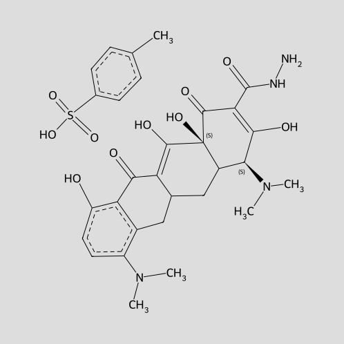 CN(C)c1ccc(O)c2c1CC1CC3[C@H](N(C)C)C(O)=C(C(=O)NN)C(=O)[C@@]3(O)C(O)=C1C2=O.Cc1ccc(S(=O)(=O)O)cc1